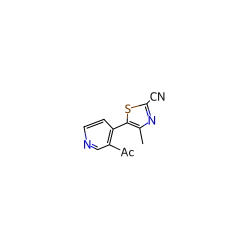 CC(=O)c1cnccc1-c1sc(C#N)nc1C